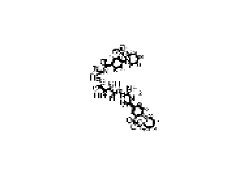 CS(=O)(=O)c1cc(C(=O)N=C(N)NOC(=O)C(O)C(O)C(=O)ONC(N)=NC(=O)c2ccc(N3CCCCC3)c(S(C)(=O)=O)c2)ccc1N1CCCCC1